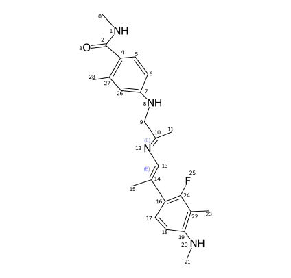 CNC(=O)c1ccc(NC/C(C)=N/C=C(\C)c2ccc(NC)c(C)c2F)cc1C